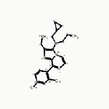 CCCN(CC1CC1)c1c(CC)nc2c(-c3ccc(Cl)cc3Cl)nccn12